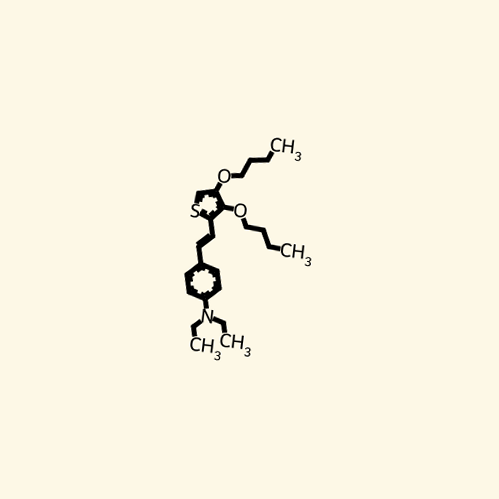 CCCCOc1csc(/C=C/c2ccc(N(CC)CC)cc2)c1OCCCC